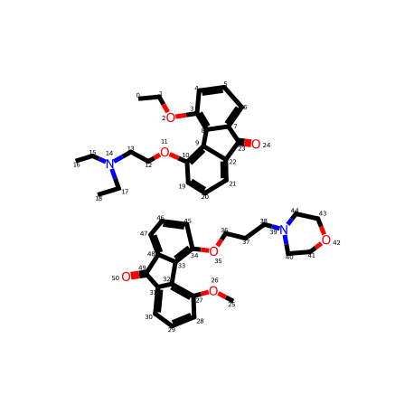 CCOc1cccc2c1-c1c(OCCN(CC)CC)cccc1C2=O.COc1cccc2c1-c1c(OCCCN3CCOCC3)cccc1C2=O